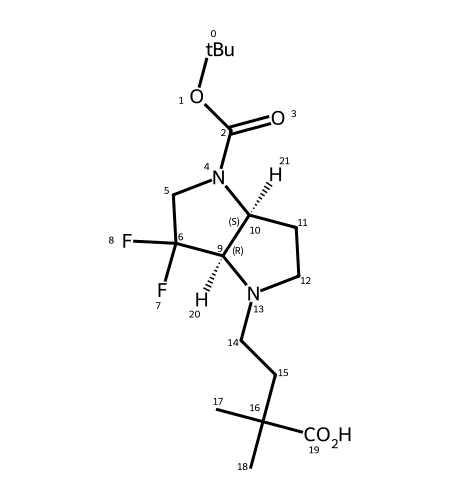 CC(C)(C)OC(=O)N1CC(F)(F)[C@H]2[C@@H]1CCN2CCC(C)(C)C(=O)O